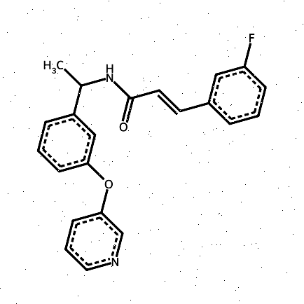 CC(NC(=O)C=Cc1cccc(F)c1)c1cccc(Oc2cccnc2)c1